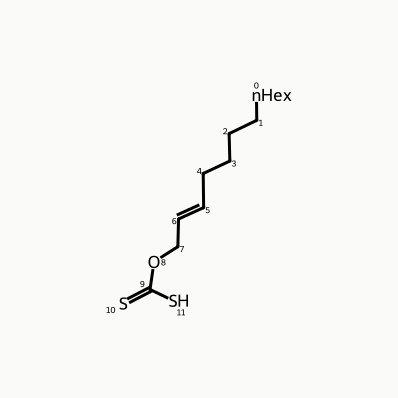 CCCCCCCCCCC=CCOC(=S)S